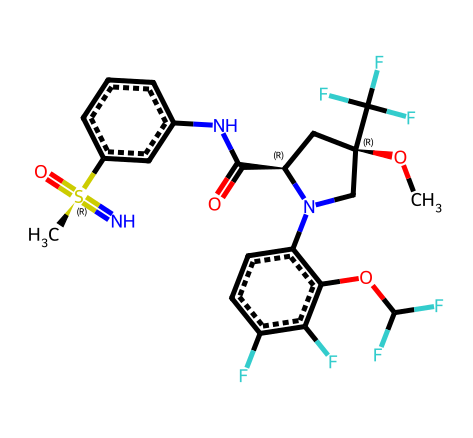 CO[C@]1(C(F)(F)F)C[C@H](C(=O)Nc2cccc([S@](C)(=N)=O)c2)N(c2ccc(F)c(F)c2OC(F)F)C1